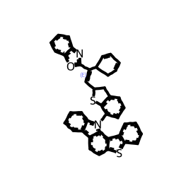 C1=CCC(/C(=C\C2Cc3cccc(-n4c5ccccc5c5ccc6sc7ccccc7c6c54)c3S2)c2nc3ccccc3o2)C=C1